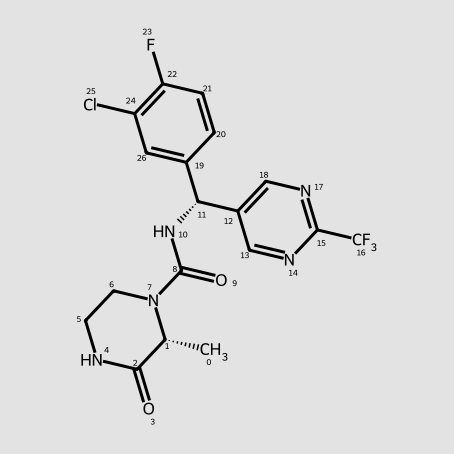 C[C@@H]1C(=O)NCCN1C(=O)N[C@@H](c1cnc(C(F)(F)F)nc1)c1ccc(F)c(Cl)c1